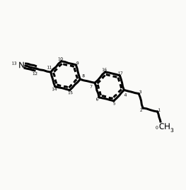 CCCCc1ccc(-c2ccc(C#N)cc2)cc1